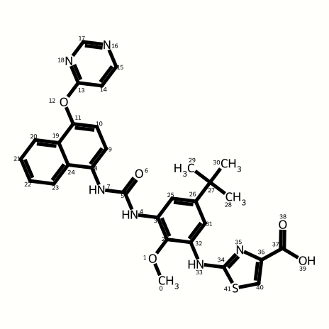 COc1c(NC(=O)Nc2ccc(Oc3ccncn3)c3ccccc23)cc(C(C)(C)C)cc1Nc1nc(C(=O)O)cs1